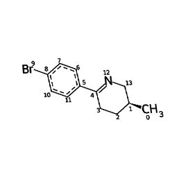 C[C@H]1CCC(c2ccc(Br)cc2)=NC1